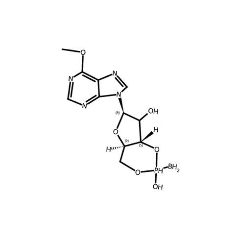 B[PH]1(O)OC[C@H]2O[C@@H](n3cnc4c(OC)ncnc43)C(O)[C@@H]2O1